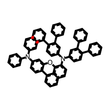 c1ccc(-c2ccc(N(c3ccc(-c4ccccc4)c(-c4ccccc4)c3)c3ccc4cccc5c4c3Oc3cc(N(c4ccccc4)c4ccccc4)ccc3-5)cc2-c2ccccc2)cc1